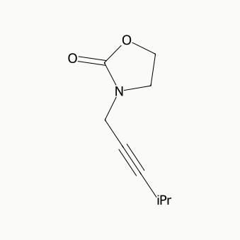 CC(C)C#CCN1CCOC1=O